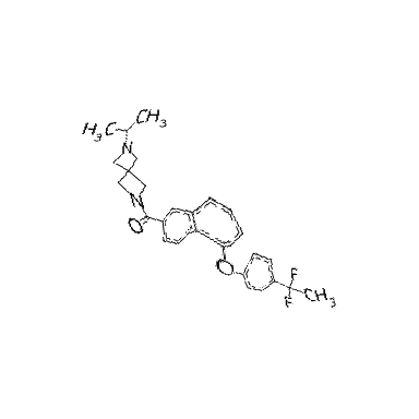 CC(C)N1CC2(CN(C(=O)c3ccc4c(Oc5ccc(C(C)(F)F)cc5)cccc4c3)C2)C1